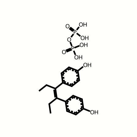 CCC(=C(CC)c1ccc(O)cc1)c1ccc(O)cc1.O=P(O)(O)OP(=O)(O)O